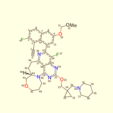 C#Cc1c(F)ccc2cc(OCOC)cc(-c3nc4c5c(nc(OCC6(CN7CCCCC7)CC6)nc5c3F)N3CCCOC[C@@H]3CC4)c12